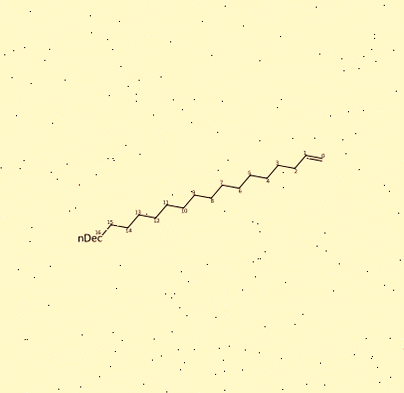 C=CCCCCCCCCCCCCCCCCCCCCCCCC